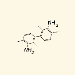 Cc1ccc(-c2ccc(C)c(N)c2C)c(C)c1N